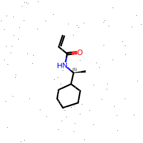 C=CC(=O)N[C@@H](C)C1CCCCC1